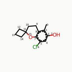 Cc1c(O)cc(Cl)c2c1CCC1(CCC1)O2